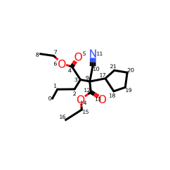 CCCC(C(=O)OCC)C(C#N)(C(=O)OCC)C1CCCC1